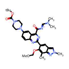 COCOc1c(-c2nc(C(=O)/N=C/N(C)C)c3cc(N4CCN(C(=O)OC(C)(C)C)CC4)ccc3n2)cc2cn(C)nc2c1C